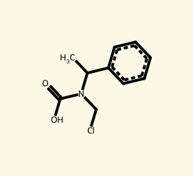 CC(c1ccccc1)N(CCl)C(=O)O